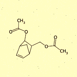 CC(=O)OCC1C2C=CC(C2)C1OC(C)=O